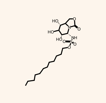 CCCCCCCCCCCCOS(=O)(=O)N[C@@H]1[C@H](O)C(O)[C@H](O)C2COC(=O)N21